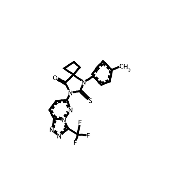 Cc1ccc(N2C(=S)N(c3ccc4nnc(C(F)(F)F)n4n3)C(=O)C23CCC3)cc1